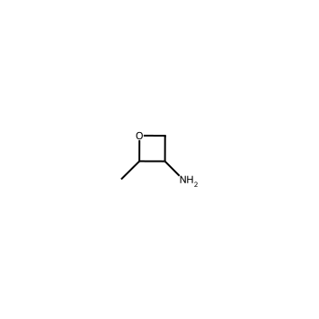 CC1OCC1N